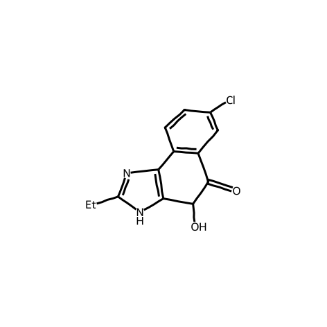 CCc1nc2c([nH]1)C(O)C(=O)c1cc(Cl)ccc1-2